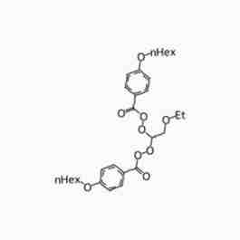 [CH2]COC[C](OOC(=O)c1ccc(OCCCCCC)cc1)OOC(=O)c1ccc(OCCCCCC)cc1